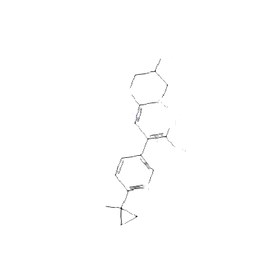 CC1CS/C(=C/C(=C(/C#N)C=O)c2ccc(C3(C)CC3)nc2)N(C)C1